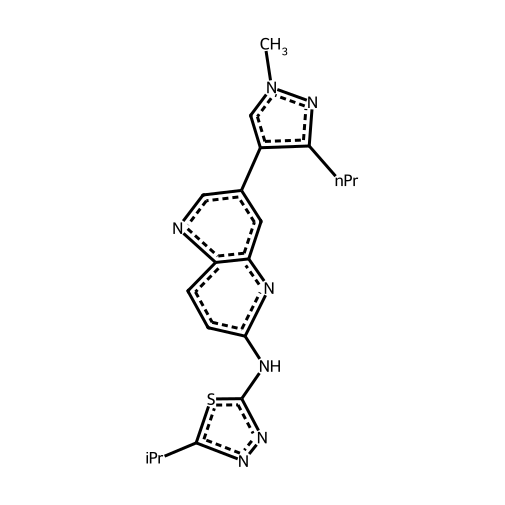 CCCc1nn(C)cc1-c1cnc2ccc(Nc3nnc(C(C)C)s3)nc2c1